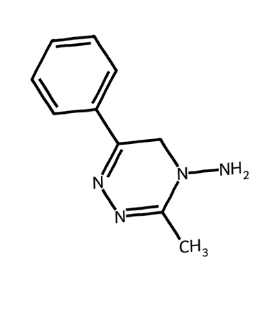 CC1=NN=C(c2ccccc2)CN1N